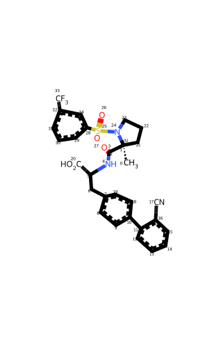 C[C@@]1(C(=O)NC(Cc2ccc(-c3ccccc3C#N)cc2)C(=O)O)CCCN1S(=O)(=O)c1cccc(C(F)(F)F)c1